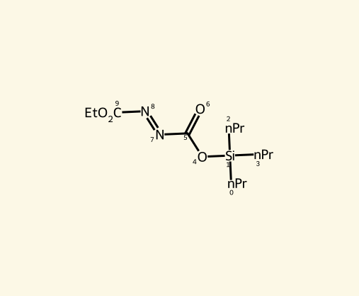 CCC[Si](CCC)(CCC)OC(=O)N=NC(=O)OCC